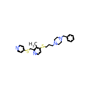 Cc1c(SCCCN2CCN(Cc3ccccc3)CC2)ccnc1CSc1ccncc1